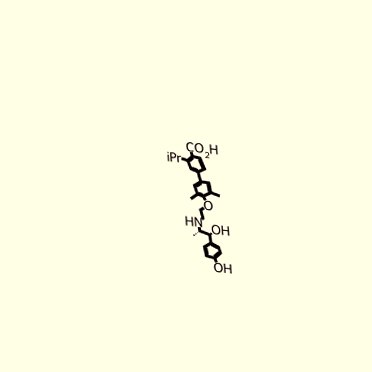 Cc1cc(-c2ccc(C(=O)O)c(C(C)C)c2)cc(C)c1OCCN[C@@H](C)[C@@H](O)c1ccc(O)cc1